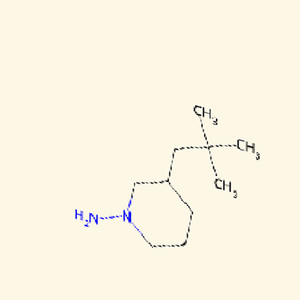 CC(C)(C)CC1CCCN(N)C1